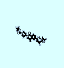 Cc1cn2nc(-c3ccc4c(=O)n(C5CCN(C(=O)OC(C)(C)C)CC5)cc(C)c4c3)cc(C)c2n1